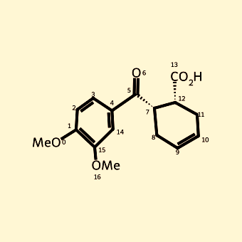 COc1ccc(C(=O)[C@H]2CC=CC[C@H]2C(=O)O)cc1OC